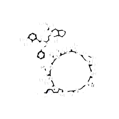 C/C=C/C[C@@H](C)[C@@H](O)[C@H]1C(=O)N[C@@H](CC)C(=O)N(C)CC(=O)N(C)[C@@H](CC(C)C)C(=O)N[C@@H](C(C)C)C(=O)N(C)[C@@H](CC(C)C)C(=O)N[C@@H](C)C(=O)N[C@H](C)C(=O)N(C)[C@@H](CC(C)C)C(=O)N(C)[C@@H](CC(C)C)C(=O)N(C)[C@@H](C(C)C)C(=O)N1C.Cc1c(O)cccc1C(=O)N[C@@H](CSc1ccccc1)[C@H](O)CN1C[C@H]2CCCC[C@H]2C[C@H]1C(=O)NC(C)(C)C